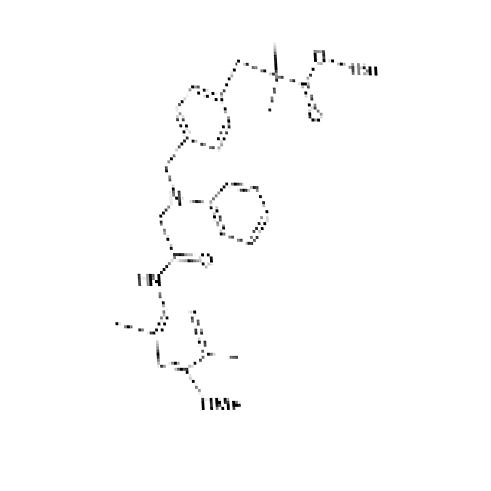 COc1cc(C)c(NC(=O)CN(Cc2ccc(CC(C)(C)C(=O)OC(C)(C)C)cc2)c2ccccc2)cc1C